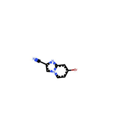 N#Cc1cn2ccc(Br)cc2n1